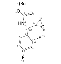 CC(C)(C)OC(=O)N[C@@H](c1ccc(F)cc1F)C1CO1